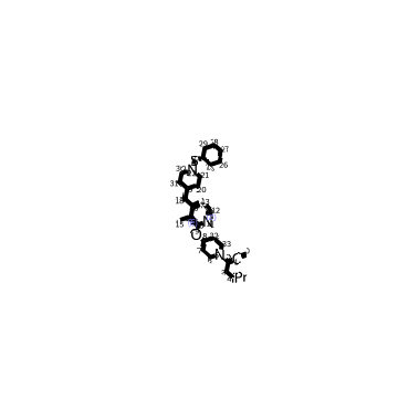 C=C=C(CC(C)C)N1CCC(OC(/N=C\C)=C(\C)C(=C)CC2CCN(SC3CCCCC3)CC2)CC1